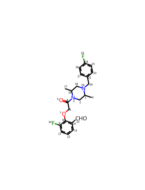 CC1CN(C(=O)COc2c(F)cccc2C=O)C(C)CN1Cc1ccc(F)cc1